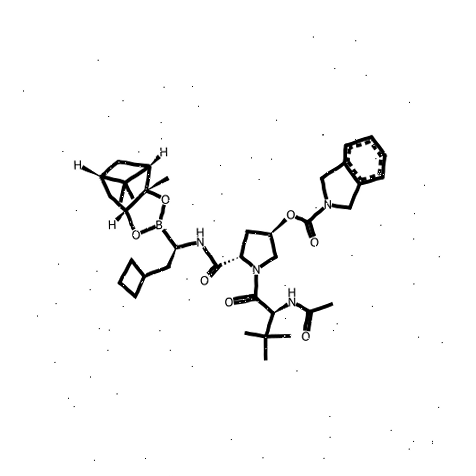 CC(=O)N[C@H](C(=O)N1C[C@H](OC(=O)N2Cc3ccccc3C2)C[C@H]1C(=O)N[C@@H](CC1CCC1)B1O[C@@H]2C[C@@H]3C[C@@H](C3(C)C)[C@]2(C)O1)C(C)(C)C